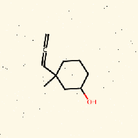 C=C=CC1(C)CCCC(O)C1